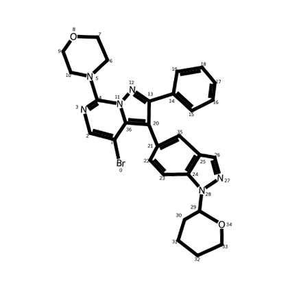 Brc1cnc(N2CCOCC2)n2nc(-c3ccccc3)c(-c3ccc4c(cnn4C4CCCCO4)c3)c12